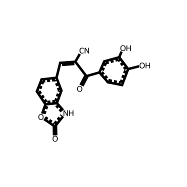 N#CC(=Cc1ccc2oc(=O)[nH]c2c1)C(=O)c1ccc(O)c(O)c1